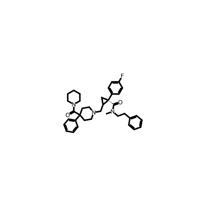 CN(CCc1ccccc1)C(=O)[C@@]1(c2ccc(F)cc2)CC1CN1CCC(C(=O)N2CCCCC2)(c2ccccc2)CC1